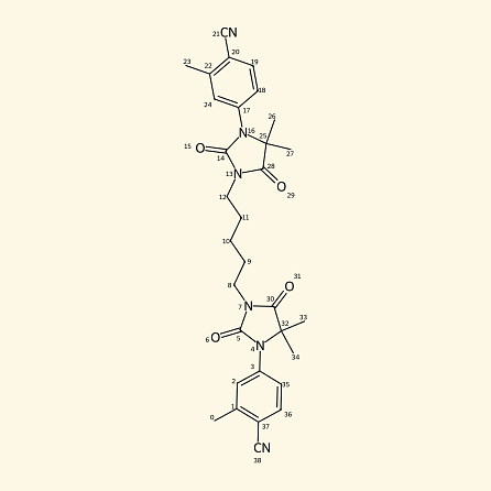 Cc1cc(N2C(=O)N(CCCCCN3C(=O)N(c4ccc(C#N)c(C)c4)C(C)(C)C3=O)C(=O)C2(C)C)ccc1C#N